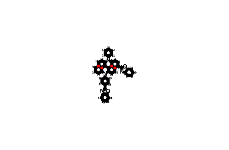 C1=CC2N=C(c3ccc(N(c4ccccc4)c4ccccc4-c4ccccc4N(c4ccccc4)c4ccc(-c5nc6ccccc6o5)cc4)cc3)OC2C=C1